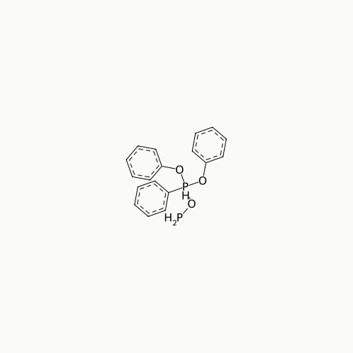 PO[PH](Oc1ccccc1)(Oc1ccccc1)c1ccccc1